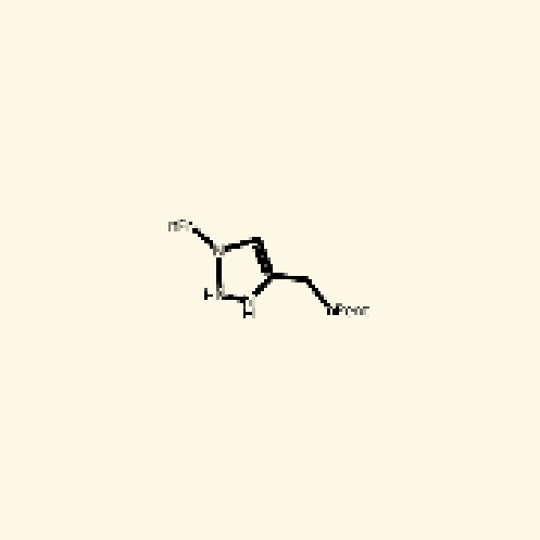 CCCCCCC1=CN(CCC)NN1